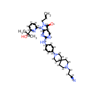 C=CCn1c(=O)c2cnc(Nc3ccc(N4CCC5(CCN(CCC#N)CC5)CC4)cc3)nc2n1-c1cccc(C(C)(C)O)n1